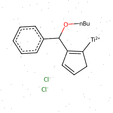 CCCCOC(C1=[C]([Ti+2])CC=C1)c1ccccc1.[Cl-].[Cl-]